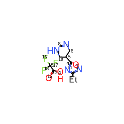 CCc1noc(C2CN=CNC2)n1.O=C(O)C(F)(F)F